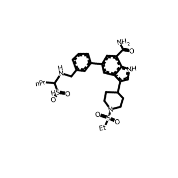 CCCC(NCc1cccc(-c2cc(C(N)=O)c3[nH]cc(C4CCN(S(=O)(=O)CC)CC4)c3c2)c1)[SH](=O)=O